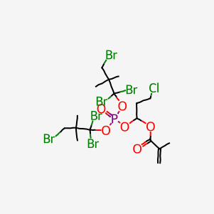 C=C(C)C(=O)OC(CCCl)OP(=O)(OC(Br)(Br)C(C)(C)CBr)OC(Br)(Br)C(C)(C)CBr